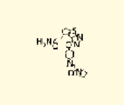 CN(CC(=O)N1CCCC1)[C@H]1CC[C@H](Oc2ncnc3sc4c(c23)[C@@H](CCC(N)=O)CC4)CC1